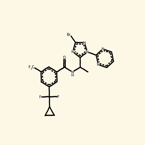 CC(NC(=O)c1cc(C(F)(F)F)cc(C(F)(F)C2CC2)c1)c1nc(Br)nn1-c1ncccn1